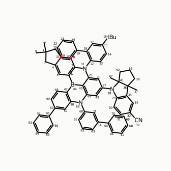 CC1(C)Cc2cc3c(cc2C1)N(c1ccc(C(C)(C)C)cc1-c1ccccc1)c1cc(N2c4ccc(C#N)cc4C4(C)CCCC24C)cc2c1B3c1ccc(-c3ccccc3)cc1N2c1cccc(-c2ccccc2)c1